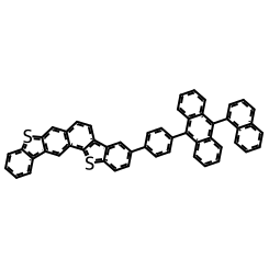 c1ccc2c(-c3c4ccccc4c(-c4ccc(-c5ccc6sc7c8cc9c(cc8ccc7c6c5)sc5ccccc59)cc4)c4ccccc34)cccc2c1